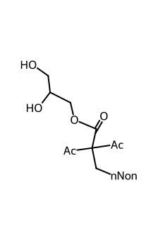 CCCCCCCCCCC(C(C)=O)(C(C)=O)C(=O)OCC(O)CO